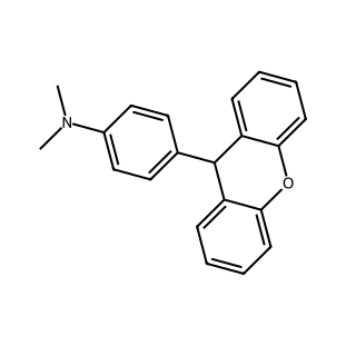 CN(C)c1ccc(C2c3ccccc3Oc3ccccc32)cc1